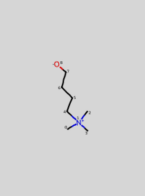 C[N+](C)(C)CCCC[O]